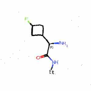 CCNC(=O)[C@H](N)C1CC(F)C1